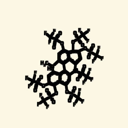 COc1cc(OS(=O)(=O)C(F)(F)F)c2c(OS(=O)(=O)C(F)(F)F)c(OS(=O)(=O)C(F)(F)F)cc(O)c2c1-c1c(OC)cc(OS(=O)(=O)C(F)(F)F)c2c(OS(=O)(=O)C(F)(F)F)c(OS(=O)(=O)C(F)(F)F)cc(OS(=O)(=O)C(F)(F)F)c12